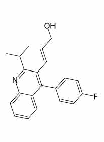 CC(C)c1nc2ccccc2c(-c2ccc(F)cc2)c1C=CCO